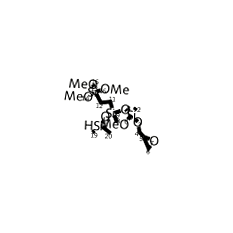 CO[Si](C)(OCC1CO1)O[Si](C)(CC[Si](OC)(OC)OC)O[SiH](C)C